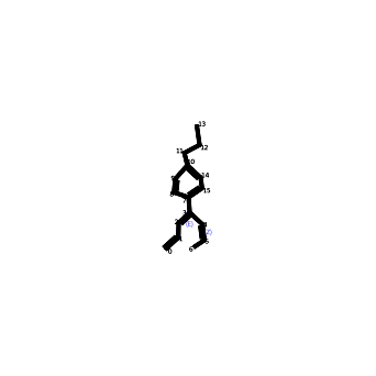 C=C/C=C(\C=C/C)c1ccc(CCC)cc1